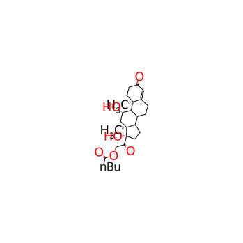 CCCCC(=O)OCC(=O)[C@@]1(O)CCC2C3CCC4=CC(=O)CC[C@]4(C)C3[C@@H](O)C[C@@]21C